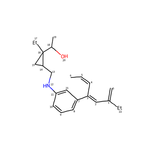 C=C(/C=C(\C=C/C)c1cccc(NCC2CC2(CC)C(C)O)c1)CC